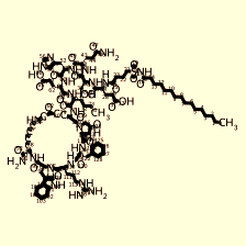 CCCCCCCCCCCCCCCC(=O)NS(=O)(=O)CCCC(=O)N[C@@H](CCC(=O)O)C(=O)N[C@@H](CO)C(=O)N[C@@H](CCC(N)=O)C(=O)N[C@@H](Cc1c[nH]cn1)C(=O)N[C@@H](CCC(=O)O)C(=O)N[C@@H](CCCC)C(=O)N[C@H]1CCC(=O)CNCCCC[C@@H](C(N)=O)NC(=O)[C@H](Cc2c[nH]c3ccccc23)NC(=O)[C@H](CCCNC(=N)N)NC(=O)[C@@H](Cc2ccccc2)NC(=O)[C@@H]2C[C@@H](O)CN2C1=O